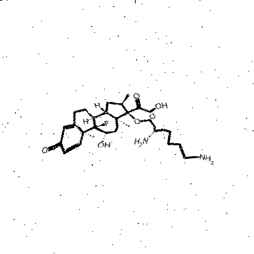 C[C@@H]1C[C@H]2[C@@H]3CCC4=CC(=O)C=C[C@]4(C)[C@@]3(F)[C@@H](O)C[C@]2(C)[C@@]1(OC(=O)[C@@H](N)CCCCN)C(=O)CO